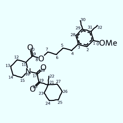 COc1cc(CCCCOC(=O)C2CCCCN2C(=O)C(=O)C2(C)CCCCC2)cc(C)c1C